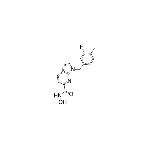 Cc1ccc(Cn2ccc3ccc(C(=O)NO)nc32)cc1F